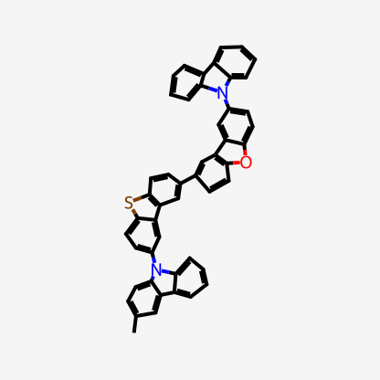 Cc1ccc2c(c1)c1ccccc1n2-c1ccc2sc3ccc(-c4ccc5oc6ccc(-n7c8ccccc8c8ccccc87)cc6c5c4)cc3c2c1